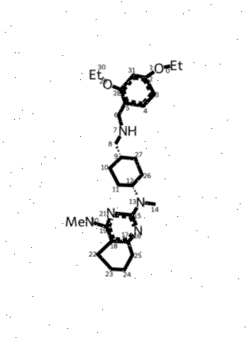 CCOc1ccc(CNC[C@H]2CC[C@@H](N(C)c3nc4c(c(NC)n3)CCCC4)CC2)c(OCC)c1